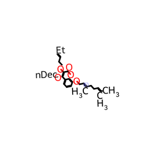 CCC=CCCOc1c(OCCCCCCCCCC)c2cccc(OC/C=C(\C)CCC=C(C)C)c2oc1=O